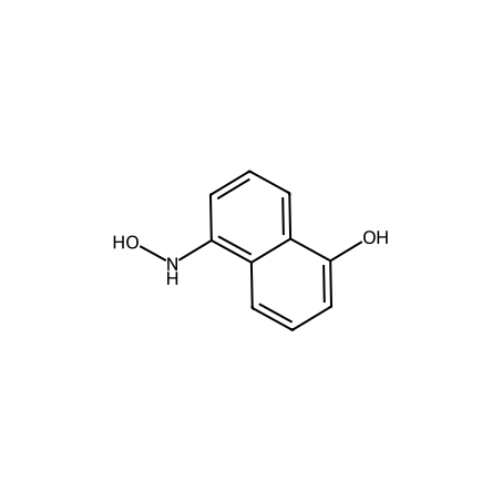 ONc1cccc2c(O)cccc12